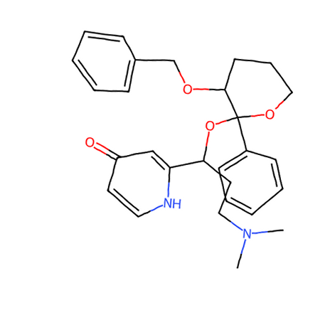 CN(C)CCC(OC1(c2ccccc2)OCCCC1OCc1ccccc1)c1cc(=O)cc[nH]1